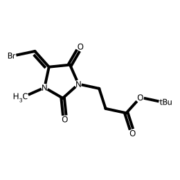 CN1C(=O)N(CCC(=O)OC(C)(C)C)C(=O)C1=CBr